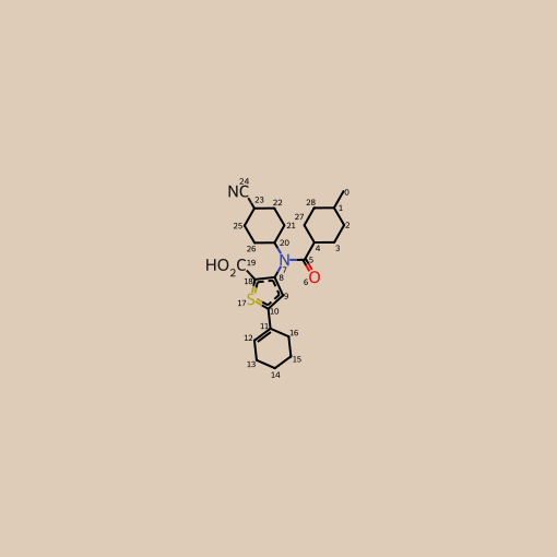 CC1CCC(C(=O)N(c2cc(C3=CCCCC3)sc2C(=O)O)C2CCC(C#N)CC2)CC1